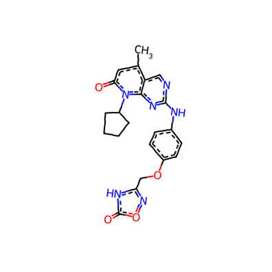 Cc1cc(=O)n(C2CCCC2)c2nc(Nc3ccc(OCc4noc(=O)[nH]4)cc3)ncc12